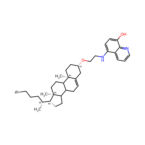 CC(C)CCC[C@@H](C)[C@H]1CCC2C3CC=C4C[C@@H](OCCNc5ccc(O)c6ncccc56)CC[C@]4(C)C3CC[C@@]21C